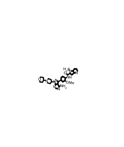 COc1cc(-c2nn(C3CCN(C4CCOCC4)CC3)c3ncnc(N)c23)ccc1NC(=O)c1cc2ncccc2n1C